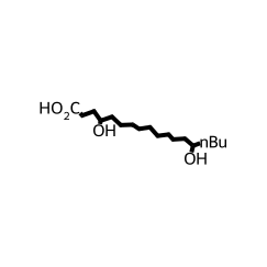 CCCCC(O)CCCCCCCCCC(O)CCC(=O)O